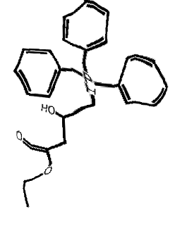 CCOC(=O)CC(O)C[PH](c1ccccc1)(c1ccccc1)c1ccccc1